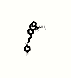 NC(=O)C12[CH]C(CC1)Cc1ccc(CCCOc3ccc(F)cc3)cc1C2